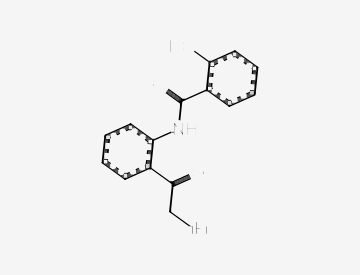 Cc1ccccc1C(=O)Nc1ccccc1C(=O)CC(C)C